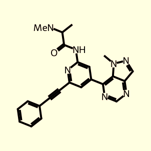 CNC(C)C(=O)Nc1cc(-c2ncnc3cnn(C)c23)cc(C#Cc2ccccc2)n1